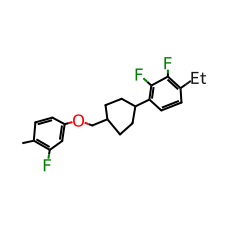 CCc1ccc(C2CCC(COc3ccc(C)c(F)c3)CC2)c(F)c1F